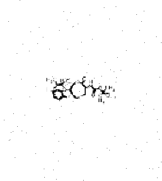 CC(C)C(=O)O[C@@H]1[C@@H](Cc2ccccc2)COC[C@H](NC(=O)OC(C)(C)C)C(=O)O[C@H]1C